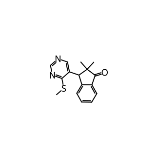 CSc1ncncc1C1c2ccccc2C(=O)C1(C)C